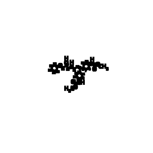 COC(=O)Nc1ccc(C(CCNC[C@@H](O)COc2ccccc2)c2ccc(NC(=O)OC)cc2)cc1